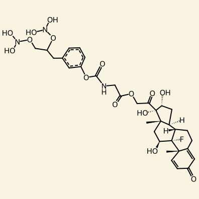 C[C@]12C=CC(=O)C=C1CC[C@H]1[C@@H]3C[C@@H](O)[C@](O)(C(=O)COC(=O)CNC(=O)Oc4cccc(CC(CON(O)O)ON(O)O)c4)[C@@]3(C)C[C@H](O)[C@@]12F